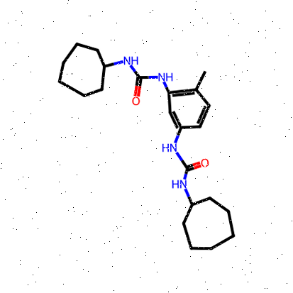 Cc1ccc(NC(=O)NC2CCCCCC2)cc1NC(=O)NC1CCCCCC1